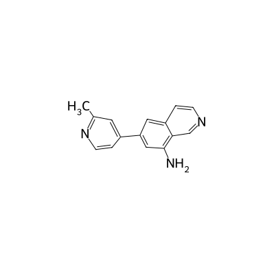 Cc1cc(-c2cc(N)c3cnccc3c2)ccn1